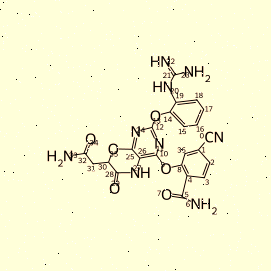 N#Cc1ccc(C(N)=O)c(Oc2nc(Oc3ccccc3NC(=N)N)nc3c2NC(=O)C(CC(N)=O)O3)c1